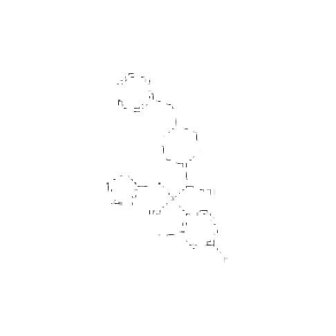 CC(N1CCN(Cc2ccncc2)CC1)C(O)(Cn1cncn1)c1ccc(F)cc1F